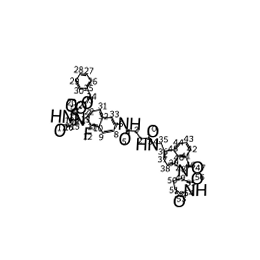 O=C(CCC(=O)Nc1ccc2c(F)c(N3CC(=O)NS3(=O)=O)c(OCc3ccccc3)cc2c1)NCc1ccc2c3c(cccc13)C(=O)N2C1CCC(=O)NC1=O